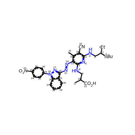 CCCCC(CC)CNc1nc(NCC(C)C(=O)O)c(N=Nc2nn(-c3ccc([N+](=O)[O-])cc3)c3ccccc23)c(C)c1C#N